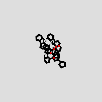 O=C1c2cccc(-n3c4c(-n5c6ccccc6c6ccccc65)cccc4c4cccc(-n5c6ccccc6c6ccccc65)c43)c2C(=O)N1c1c(-c2ccccc2)cc(-c2ccccc2)cc1-c1ccccc1